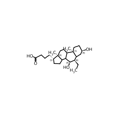 CC[C@@H]1C2C[C@H](O)CC[C@]2(C)C2CC[C@@]3(C)C(CC[C@@H]3CCCC(=O)O)C2[C@@H]1O